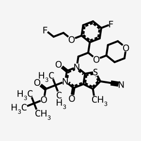 Cc1c(C#N)sc2c1c(=O)n(C(C)(C)C(=O)OC(C)(C)C)c(=O)n2CC(OC1CCOCC1)c1cc(F)ccc1OCCF